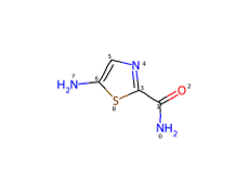 NC(=O)c1ncc(N)s1